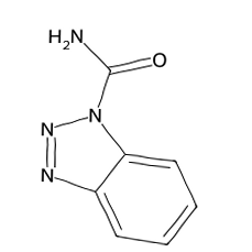 NC(=O)n1nnc2ccccc21